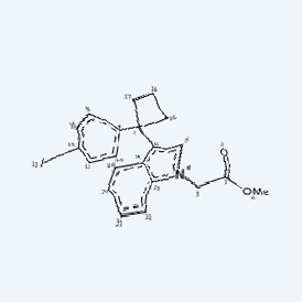 COC(=O)Cn1cc(C2(c3ccc(I)cc3)CCC2)c2ccccc21